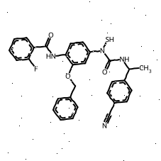 CC(NC(=O)N(S)c1ccc(NC(=O)c2ccccc2F)c(OCc2ccccc2)c1)c1ccc(C#N)cc1